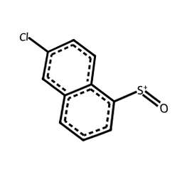 O=[S+]c1cccc2cc(Cl)ccc12